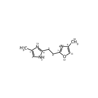 Cc1c[nH]c(CCc2nc(C)co2)n1